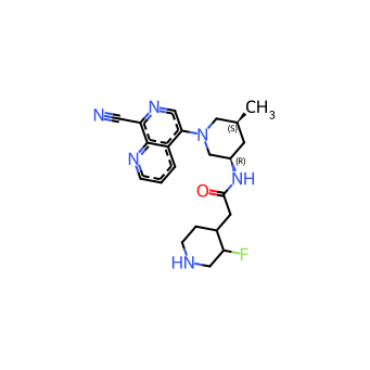 C[C@H]1C[C@@H](NC(=O)CC2CCNCC2F)CN(c2cnc(C#N)c3ncccc23)C1